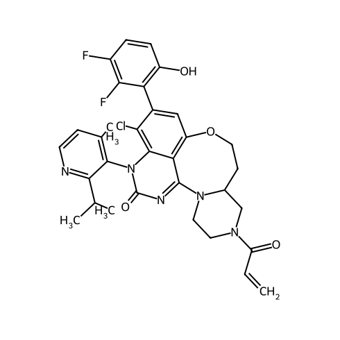 C=CC(=O)N1CCN2c3nc(=O)n(-c4c(C)ccnc4C(C)C)c4c(Cl)c(-c5c(O)ccc(F)c5F)cc(c34)OCCC2C1